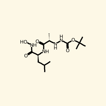 CC(C)C[C@H](NC(=O)[C@H](C)NNC(=O)OC(C)(C)C)C(=O)NO